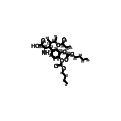 CCCCOC(=O)Oc1ccc(C(C(C)C(C)OC(=O)CC)[C@H](N)C(=O)O)cc1OC(=O)OCCCC